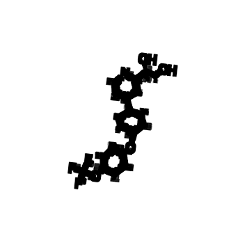 OC[C@@H](O)c1cc(-c2ccc(Oc3ccc(OC(F)(F)F)cc3)cc2)ccn1